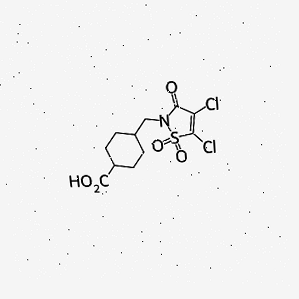 O=C(O)C1CCC(CN2C(=O)C(Cl)=C(Cl)S2(=O)=O)CC1